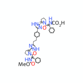 COC(=O)N[C@@H](C(=O)N1CCC[C@H]1c1nc(CCc2ccc(-c3c[nH]c([C@@H]4CCCN4C(=O)[C@H](NC(=O)O)c4ccccc4)n3)cc2)c[nH]1)c1ccccc1